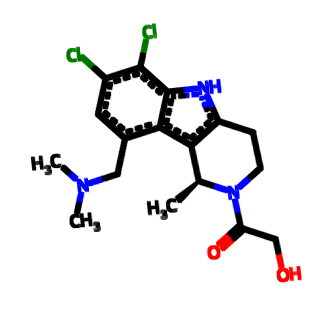 C[C@H]1c2c([nH]c3c(Cl)c(Cl)cc(CN(C)C)c23)CCN1C(=O)CO